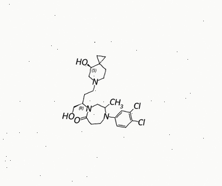 CC1CN([C@@H](CO)CCN2CCC3(CC3)[C@H](O)C2)C(=O)CCN1c1ccc(Cl)c(Cl)c1